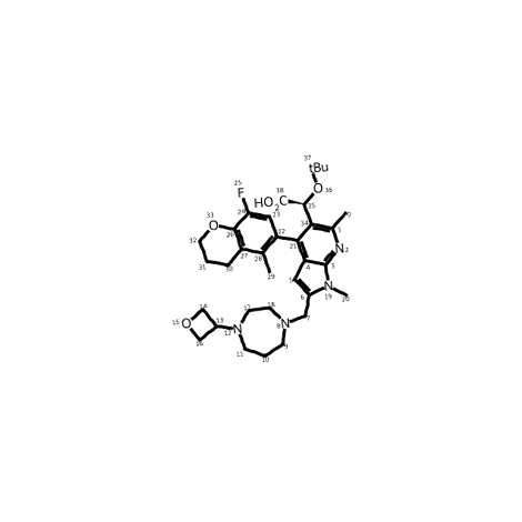 Cc1nc2c(cc(CN3CCCN(C4COC4)CC3)n2C)c(-c2cc(F)c3c(c2C)CCCO3)c1[C@H](OC(C)(C)C)C(=O)O